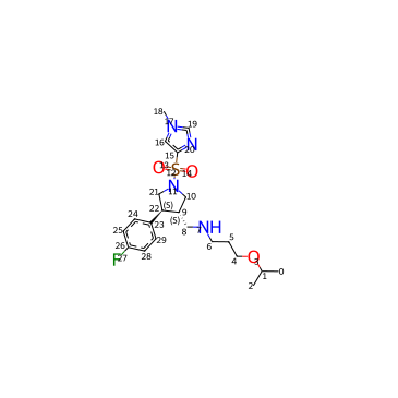 CC(C)OCCCNC[C@H]1CN(S(=O)(=O)c2cn(C)cn2)C[C@@H]1c1ccc(F)cc1